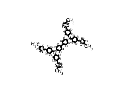 Cc1cnc(-c2ccc(N(c3ccc(-c4ccc(N(c5ccc(-c6ncc(C)s6)cc5)c5ccc(-c6ncc(C)s6)cc5)cc4)cc3)c3ccc(-c4ncc(C)s4)cc3)cc2)s1